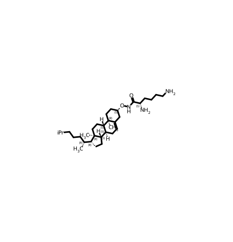 CC(C)CCC[C@@H](C)[C@H]1CC[C@H]2[C@@H]3CC=C4C[C@@H](ONC(=O)[C@@H](N)CCCCN)CC[C@]4(C)[C@H]3CC[C@]12C